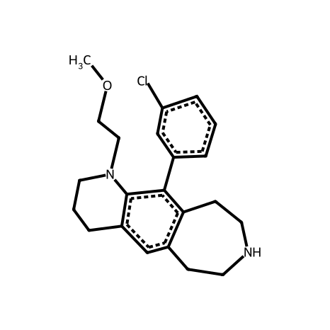 COCCN1CCCc2cc3c(c(-c4cccc(Cl)c4)c21)CCNCC3